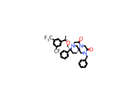 C[C@@H](OC[C@@]1(c2ccccc2)CC[C@@]23CN(Cc4ccccc4)C(=O)CN2C(=O)CN1C3)c1cc(C(F)(F)F)cc(C(F)(F)F)c1